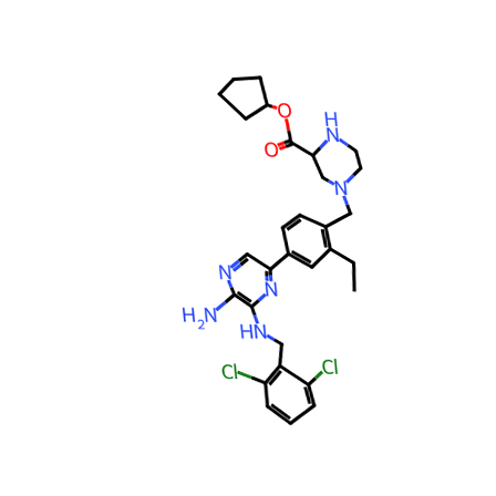 CCc1cc(-c2cnc(N)c(NCc3c(Cl)cccc3Cl)n2)ccc1CN1CCNC(C(=O)OC2CCCC2)C1